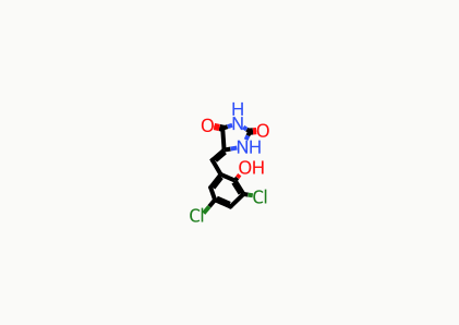 O=C1NC(=O)C(=Cc2cc(Cl)cc(Cl)c2O)N1